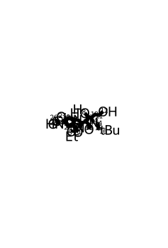 CCOP1(=O)N=C(C2=C(O)C(CCO)N(CCC(C)(C)C)C2=O)Nc2ccc(NS(C)(=O)=O)cc21